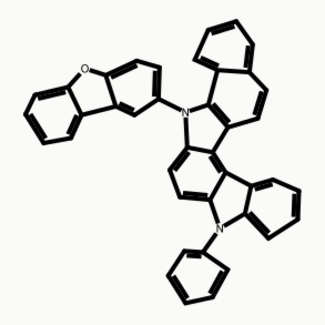 c1ccc(-n2c3ccccc3c3c4c5ccc6ccccc6c5n(-c5ccc6oc7ccccc7c6c5)c4ccc32)cc1